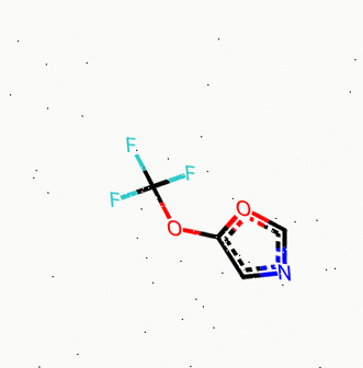 FC(F)(F)Oc1cnco1